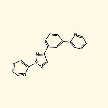 c1ccc(-c2cccc(-c3cnn(-c4ccccn4)n3)c2)nc1